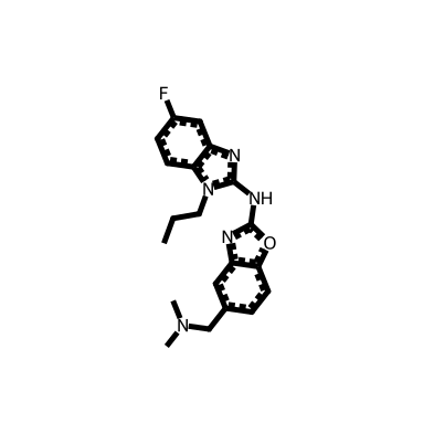 CCCn1c(Nc2nc3cc(CN(C)C)ccc3o2)nc2cc(F)ccc21